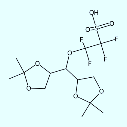 CC1(C)OCC(C(OC(F)(F)C(F)(F)S(=O)(=O)O)C2COC(C)(C)O2)O1